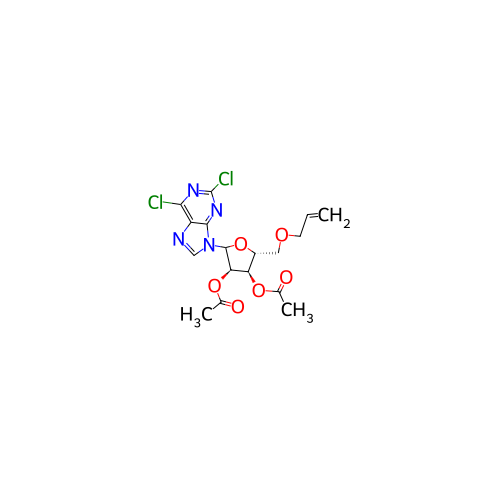 C=CCOC[C@H]1OC(n2cnc3c(Cl)nc(Cl)nc32)[C@H](OC(C)=O)[C@@H]1OC(C)=O